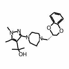 Cc1c(C(C)(C)O)c(N2CCN(C[C@H]3COc4ccccc4O3)CC2)nn1C